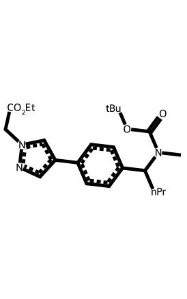 CCCC(c1ccc(-c2cnn(CC(=O)OCC)c2)cc1)N(C)C(=O)OC(C)(C)C